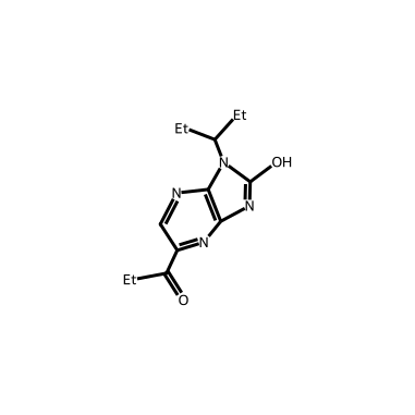 CCC(=O)c1cnc2c(n1)nc(O)n2C(CC)CC